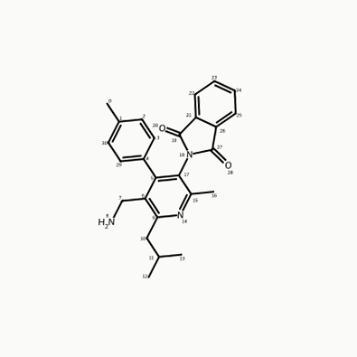 Cc1ccc(-c2c(CN)c(CC(C)C)nc(C)c2N2C(=O)c3ccccc3C2=O)cc1